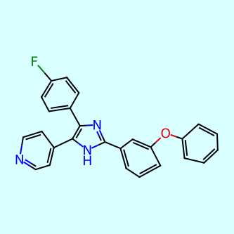 Fc1ccc(-c2nc(-c3cccc(Oc4ccccc4)c3)[nH]c2-c2ccncc2)cc1